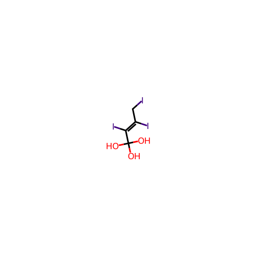 OC(O)(O)C(I)=C(I)CI